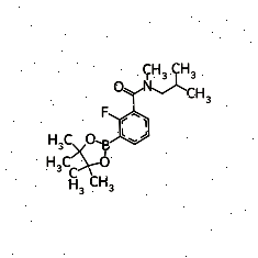 CC(C)CN(C)C(=O)c1cccc(B2OC(C)(C)C(C)(C)O2)c1F